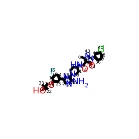 Cc1c(C(=O)NC2CCN(c3nc(-c4cc(F)cc(OCC(C)(C)O)c4)cnc3N)CC2)c(=O)n(-c2cccc(Cl)c2)n1C